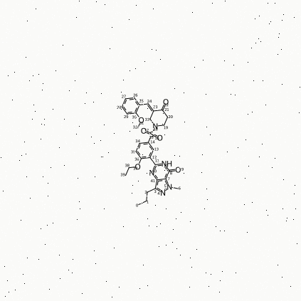 CCCc1nn(C)c2c(=O)[nH]c(-c3cc(S(=O)(=O)N4CCC(=O)C(=Cc5ccccc5OC)C4)ccc3OCC)nc12